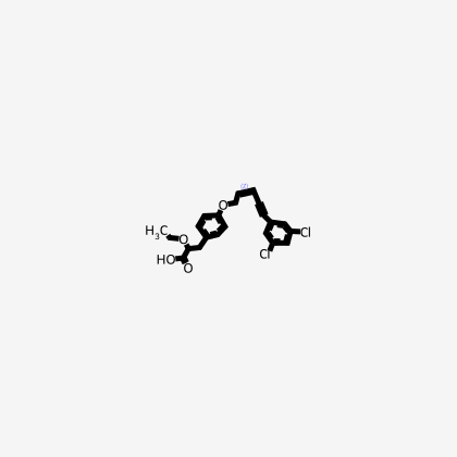 CCOC(Cc1ccc(OC/C=C\C#Cc2cc(Cl)cc(Cl)c2)cc1)C(=O)O